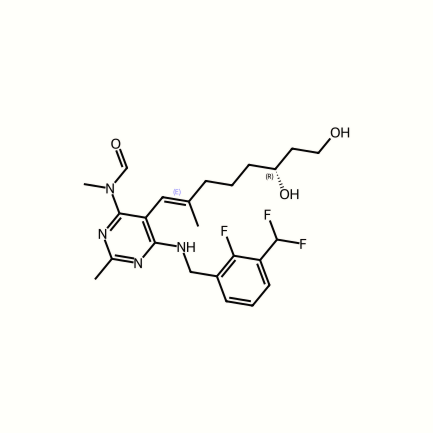 C/C(=C\c1c(NCc2cccc(C(F)F)c2F)nc(C)nc1N(C)C=O)CCC[C@@H](O)CCO